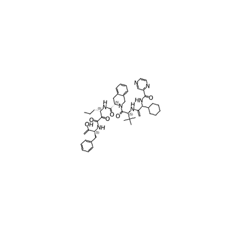 C=C(N[C@H](C(=O)N1Cc2ccccc2C[C@H]1C(=O)N[C@@H](CCC)C(=O)C(=O)N[C@@H](Cc1ccccc1)C(=C)O)C(C)(C)C)C(NC(=O)c1cnccn1)C1CCCCC1